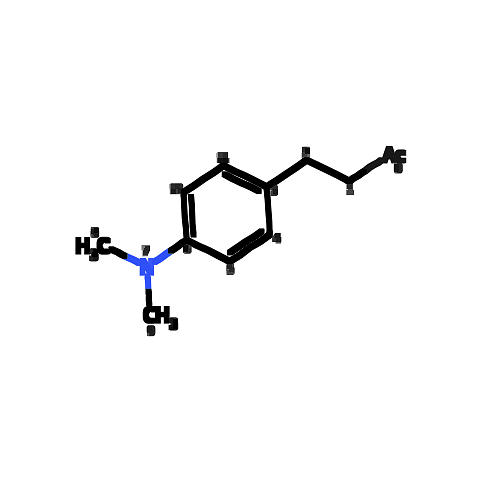 CC(=O)CCc1ccc(N(C)C)cc1